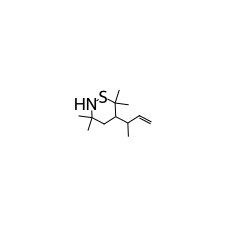 C=CC(C)C1CC(C)(C)NSC1(C)C